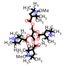 CON1C(C)(C)CC(C(=O)OCC(OC(=O)C2CC(C)(C)NC2(C)C)C(COC(=O)C2CC(C)(C)N(OC)C2(C)C)OC(=O)C2CC(C)(C)NC2(C)C)C1(C)C